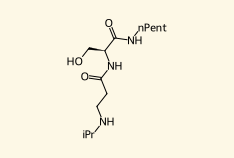 CCCCCNC(=O)[C@H](CO)NC(=O)CCNC(C)C